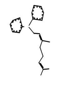 CC(C)=CCCC(C)=CC[SiH](c1ccccc1)c1ccccc1